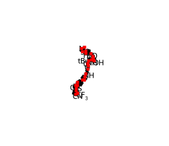 Cc1ncsc1-c1ccc(CNC(=O)[C@@H]2C[C@@H](O)CN2C(=O)C(NC(=O)COCCCCNc2ccc(-c3ccc(N4C(=S)N(c5ccc(C#N)c(C(F)(F)F)c5)C(=O)C4(C)C)cc3)cc2)C(C)(C)C)cc1